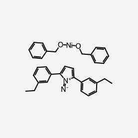 CCc1cccc(C2=CC=C(c3cccc(CC)c3)[N+]2=[N-])c1.c1ccc(C[O][Ni][O]Cc2ccccc2)cc1